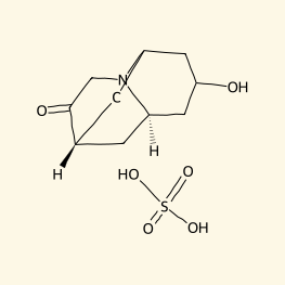 O=C1CN2C3CC(O)C[C@H]2C[C@H]1C3.O=S(=O)(O)O